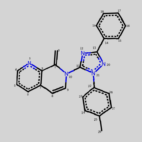 C=C1c2ncccc2C=CN1c1nc(-c2ccccc2)nn1-c1ccc(C)cc1